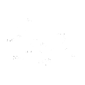 CSCC[C@@H](C(=O)O)N(c1cc(C)cc(Cc2cc(C(C)C)ccc2O)c1O)c1cc(C)cc(Cc2cc(C(C)C)ccc2O)c1O